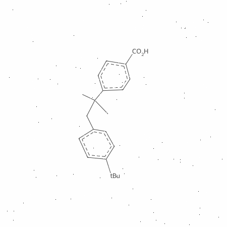 CC(C)(C)c1ccc(CC(C)(C)c2ccc(C(=O)O)cc2)cc1